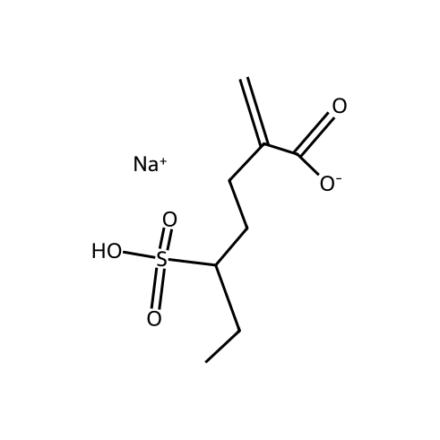 C=C(CCC(CC)S(=O)(=O)O)C(=O)[O-].[Na+]